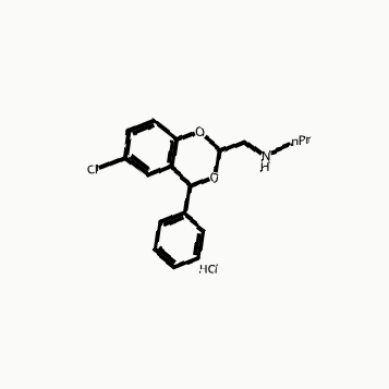 CCCNCC1Oc2ccc(Cl)cc2C(c2ccccc2)O1.Cl